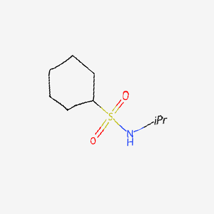 CC(C)NS(=O)(=O)C1CCCCC1